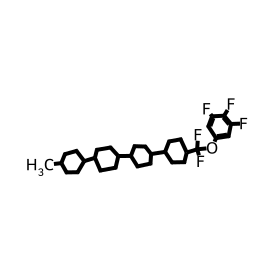 CC1CCC(C2CCC(C3CCC(C4CCC(C(F)(F)Oc5cc(F)c(F)c(F)c5)CC4)CC3)CC2)CC1